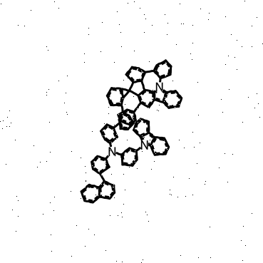 c1ccc(-c2cccc3c2C32c3cccc4c3-c3c2c(-c2ccc(-c5cccc(N(c6cccc(-c7cccc8ccccc78)c6)c6cccc(-n7c8ccccc8c8ccccc87)c6)c5)cc2)cc2c5ccccc5n(c32)-c2ccccc2-4)cc1